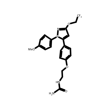 COc1ccc(-n2nc(OCC(F)(F)F)cc2-c2ccc(OCCNC(N)=O)cc2)cc1